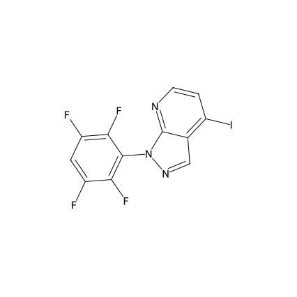 Fc1cc(F)c(F)c(-n2ncc3c(I)ccnc32)c1F